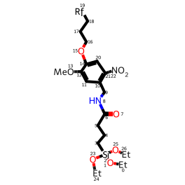 CCO[Si](CCCC(=O)NCc1cc(OC)c(OCC[CH2][Rf])cc1[N+](=O)[O-])(OCC)OCC